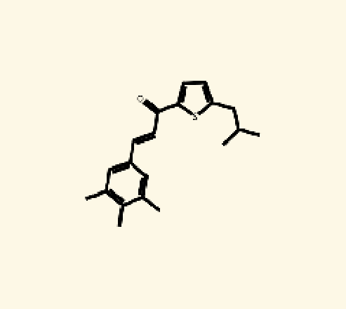 Cc1cc(/C=C/C(=O)c2ccc(CC(C)C)s2)cc(C)c1C